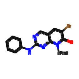 CCCCCn1c(=O)c(Br)cc2cnc(Nc3ccccc3)nc21